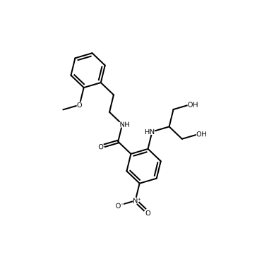 COc1ccccc1CCNC(=O)c1cc([N+](=O)[O-])ccc1NC(CO)CO